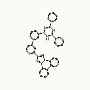 c1ccc(C2=NC(c3cccc(-c4cccc(C5=NC6C(=N5)c5ccccc5-c5ccccc56)c4)c3)NC(c3ccccc3)=N2)cc1